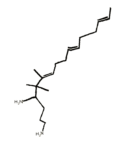 C/C=C/CC/C=C/CC/C=C(\C)C(C)(C)C(N)CCCN